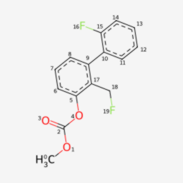 COC(=O)Oc1cccc(-c2ccccc2F)c1CF